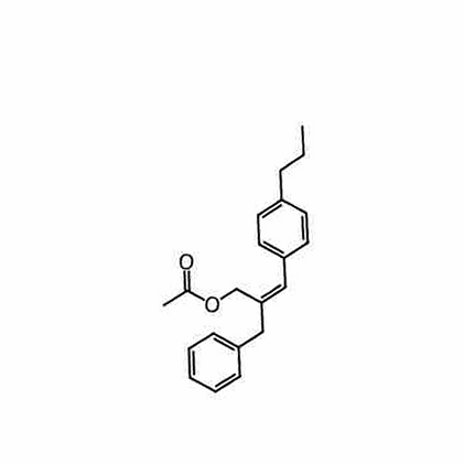 CCCc1ccc(/C=C(\COC(C)=O)Cc2ccccc2)cc1